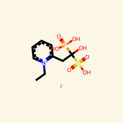 CC[n+]1ccccc1CC(O)(P(=O)(O)O)S(=O)(=O)O.[I-]